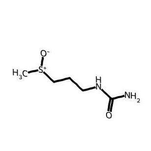 C[S+]([O-])CCCNC(N)=O